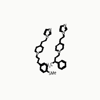 CC(CCN1CCC(CCn2ccnc2)CC1)c1ccccc1.CSc1ccc(CCCN2CCC(CCn3ccnc3)CC2)cc1